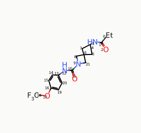 CCC(=O)NC1CC2(C1)CN(C(=O)Nc1ccc(OC(F)(F)F)cc1)C2